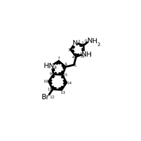 Nc1ncc(Cc2c[nH]c3cc(Br)ccc23)[nH]1